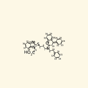 O=C(O)Cn1c(SCCCN(CCc2ccccc2)C(=O)CC(c2ccccc2)c2ccccc2)nc2ccccc21